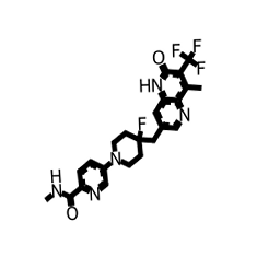 CNC(=O)c1ccc(N2CCC(F)(Cc3cnc4c(C)c(C(F)(F)F)c(=O)[nH]c4c3)CC2)cn1